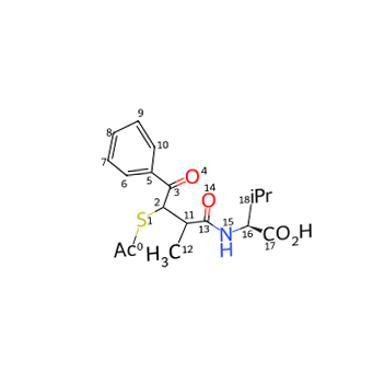 CC(=O)SC(C(=O)c1ccccc1)C(C)C(=O)N[C@H](C(=O)O)C(C)C